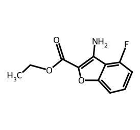 CCOC(=O)c1oc2cccc(F)c2c1N